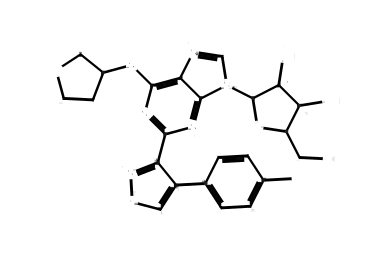 Cc1ccc(-c2c[nH]nc2-c2nc(NC3CCOC3)c3ncn(C4OC(CO)C(O)C4O)c3n2)cc1